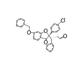 O=CC[C@H](c1ccccc1)[C@@]1(c2ccc(Cl)cc2)Oc2cc(OCc3ccccc3)ccc2C1=O